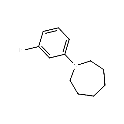 Brc1cccc(N2CCCCCC2)c1